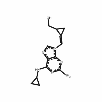 Nc1nc(NC2CC2)c2ncn(/C=C3/CC3CO)c2n1